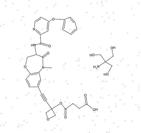 CN1C(=O)C(NC(=O)c2cc(Oc3ccccc3)ccn2)COc2ccc(C#CC3(OC(=O)CCC(=O)O)COC3)cc21.NC(CO)(CO)CO